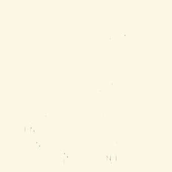 CC(C)(C)c1ccc(Oc2cccc(C3C4=C(CNCC4=O)Nc4n[nH]cc43)c2)cc1